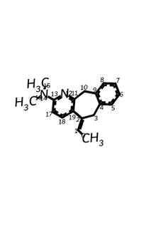 CC=C1Cc2ccccc2Cc2nc(N(C)C)ccc21